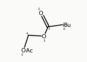 CCC(C)C(=O)OCOC(C)=O